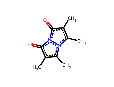 Cc1c(C)n2c(C)c(C)c(=O)n2c1=O